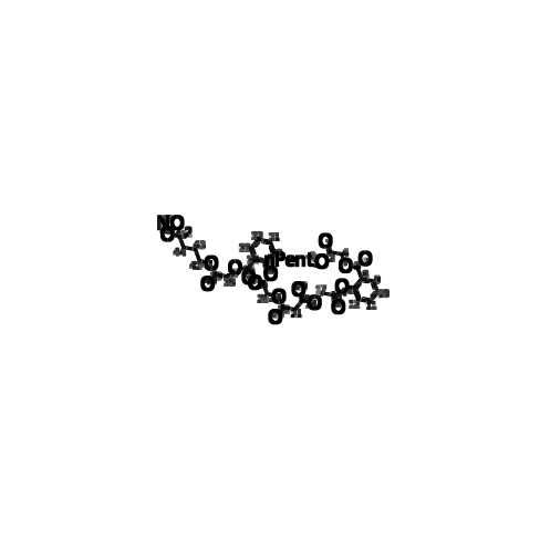 CCCCCOC(=O)COC(=O)c1ccccc1OC(=O)COC(=O)CC(=O)OCC(=O)Oc1ccccc1C(=O)OCC(=O)OCCCCO[N+](=O)[O-]